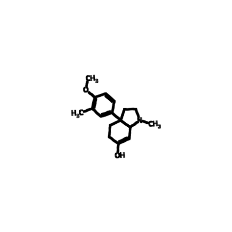 COc1ccc(C23CCC(O)=CC2N(C)CC3)cc1C